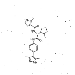 Cc1n[nH]c(C)c1-c1ccc(NC(=O)C(NC(=O)c2ccnn2C)C2CCCC2C)cc1